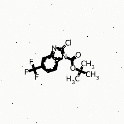 CC(C)(C)OC(=O)n1c(Cl)nc2cc(C(F)(F)F)ccc21